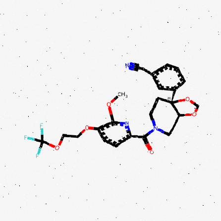 COc1nc(C(=O)N2CC[C@]3(c4cccc(C#N)c4)OCOC3C2)ccc1OCCOC(F)(F)F